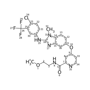 COCCNC(=O)c1cc(Oc2ccc3c(c2)nc(Nc2ccc(Cl)c(C(F)(F)F)c2)n3C)ccn1